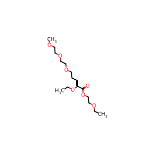 CCOCCOC(=O)C(=CCCOCCOCCOC)OCC